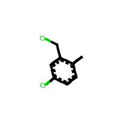 Cc1ccc(Cl)cc1CCl